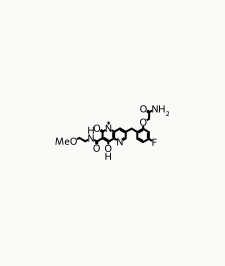 COCCNC(=O)c1c(O)c2ncc(Cc3ccc(F)cc3OCC(N)=O)cc2n(C)c1=O